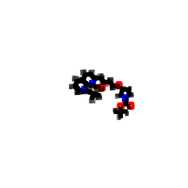 CC(C)(C)OC(=O)N1CC[C@@H](OCCCCC2CCc3cccnc3N2[S@+]([O-])C(C)(C)C)C1